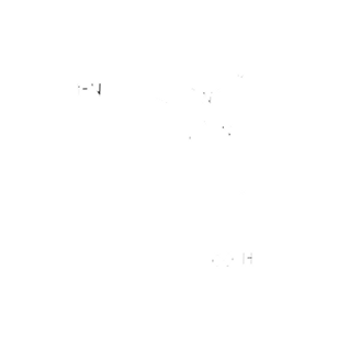 Cl.O=C(O)CCc1ccc(N2CCCN(c3ccc4c(c3)CCNCC4)C2=O)cc1